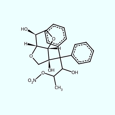 CC(O[N+](=O)[O-])C(O)C(c1ccccc1)(c1ccccc1)[C@]1(O)CO[C@@H]2[C@@H](O)CO[C@@H]21